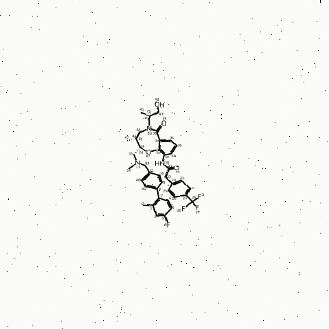 Cc1cc(F)ccc1-c1ccc(CN(C)C[C@H]2Oc3c(NC(=O)Cc4ccc(C(F)(F)F)cc4)cccc3C(=O)N([C@@H](C)CO)C[C@H]2C)cc1